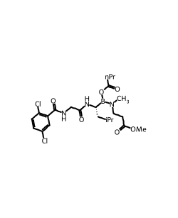 CCCC(=O)OB([C@H](CC(C)C)NC(=O)CNC(=O)c1cc(Cl)ccc1Cl)N(C)CCC(=O)OC